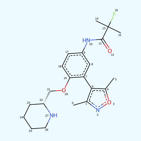 Cc1noc(C)c1-c1cc(NC(=O)C(C)(C)F)ccc1OC[C@H]1CCCCN1